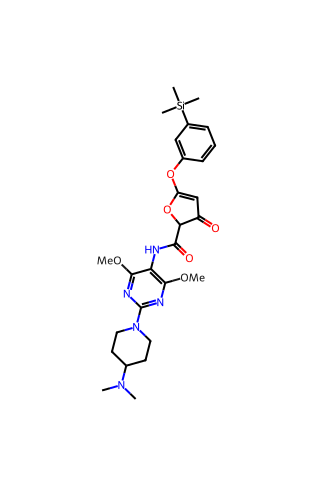 COc1nc(N2CCC(N(C)C)CC2)nc(OC)c1NC(=O)C1OC(Oc2cccc([Si](C)(C)C)c2)=CC1=O